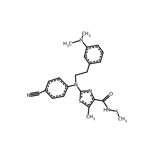 CSNC(=O)c1nc(N(CCc2cccc(N(C)C)c2)c2ccc(C#N)cc2)sc1C